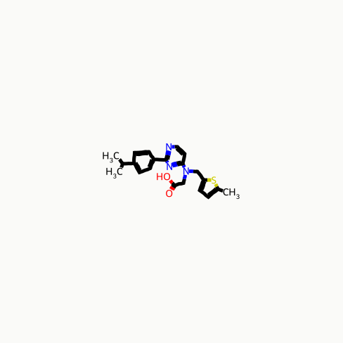 Cc1ccc(CN(CC(=O)O)c2ccnc(-c3ccc(C(C)C)cc3)n2)s1